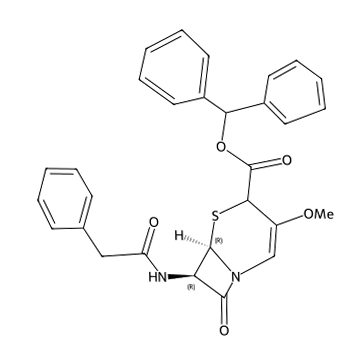 COC1=CN2C(=O)[C@@H](NC(=O)Cc3ccccc3)[C@H]2SC1C(=O)OC(c1ccccc1)c1ccccc1